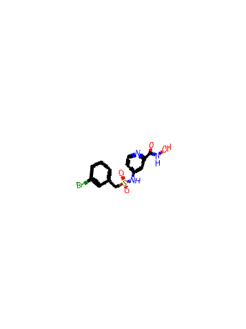 O=C(NO)c1cc(NS(=O)(=O)CC2=CCCC(Br)=C2)ccn1